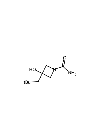 CC(C)(C)CC1(O)CN(C(N)=O)C1